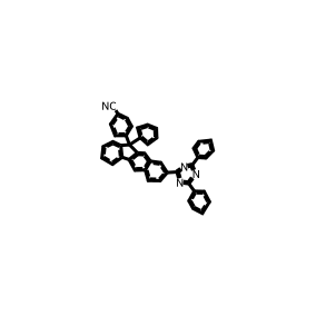 N#Cc1ccc(C2(c3ccccc3)c3ccccc3-c3cc4ccc(-c5nc(-c6ccccc6)nc(-c6ccccc6)n5)cc4cc32)cc1